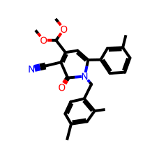 COC(OC)c1cc(-c2cccc(C)c2)n(Cc2ccc(C)cc2C)c(=O)c1C#N